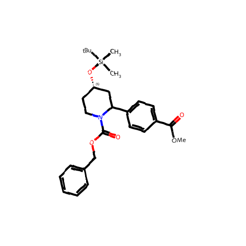 COC(=O)c1ccc(C2C[C@@H](O[Si](C)(C)C(C)(C)C)CCN2C(=O)OCc2ccccc2)cc1